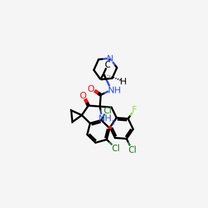 NC(Cc1ccc(Cl)cc1F)(C(=O)N[C@@H]1CN2CCC1CC2)C(=O)C1(c2ccc(Cl)cc2Cl)CC1